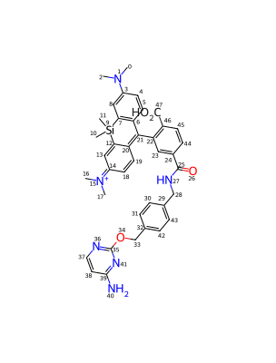 CN(C)c1ccc2c(c1)[Si](C)(C)C1=CC(=[N+](C)C)C=CC1=C2c1cc(C(=O)NCc2ccc(COc3nccc(N)n3)cc2)ccc1C(=O)O